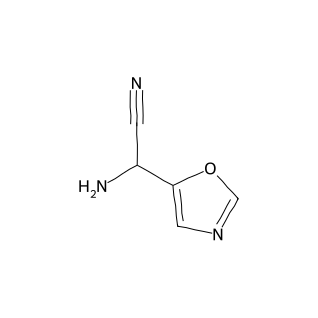 N#CC(N)c1cnco1